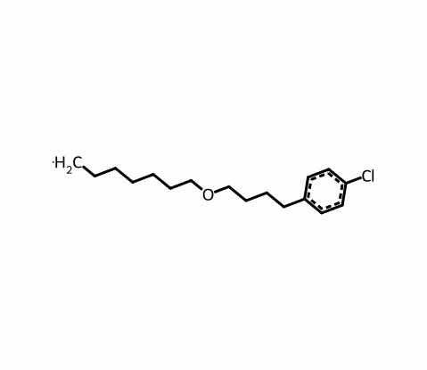 [CH2]CCCCCCOCCCCc1ccc(Cl)cc1